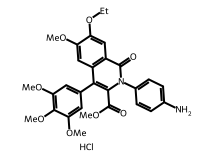 CCOc1cc2c(=O)n(-c3ccc(N)cc3)c(C(=O)OC)c(-c3cc(OC)c(OC)c(OC)c3)c2cc1OC.Cl